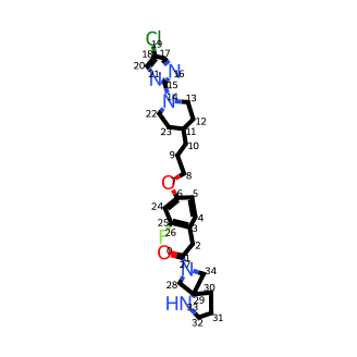 O=C(Cc1ccc(OCCCC2CCN(c3ncc(Cl)cn3)CC2)cc1F)N1CC2(CCCN2)C1